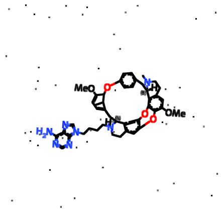 COC1=CC=C2C[C@H]3c4cc5c(cc4CCN3CCCCn3cnc4c(N)ncnc43)Oc3c(OC)cc4c(c3O5)[C@H](Cc3ccc(cc3)OC1C2C)N(C)CC4